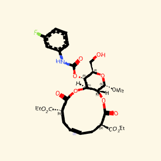 CCOC(=O)[C@H]1C/C=C\C[C@H](C(=O)OCC)C(=O)O[C@H]2[C@@H](OC)O[C@H](CO)[C@@H](OC(=O)Nc3cccc(F)c3)[C@@H]2OC1=O